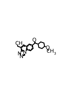 CCc1cc2cc(C(=O)C3CCC(OC)CC3)ccc2n2cnnc12